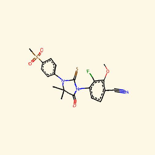 COc1c(C#N)ccc(N2C(=O)C(C)(C)N(c3ccc(S(C)(=O)=O)cc3)C2=S)c1F